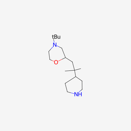 CC(C)(CC1CN(C(C)(C)C)CCO1)C1CCNCC1